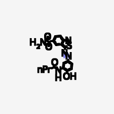 CCCC(=O)Nc1cc(/N=N/c2snc3ccc(S(N)(=O)=O)cc23)ccc1O